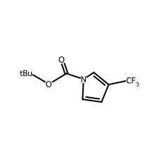 CC(C)(C)OC(=O)n1ccc(C(F)(F)F)c1